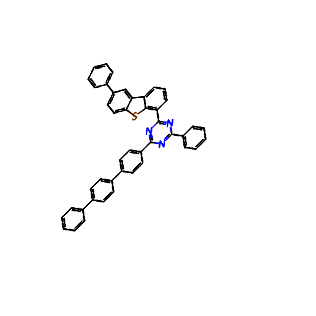 c1ccc(-c2ccc(-c3ccc(-c4nc(-c5ccccc5)nc(-c5cccc6c5sc5ccc(-c7ccccc7)cc56)n4)cc3)cc2)cc1